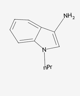 CCCn1cc(N)c2ccccc21